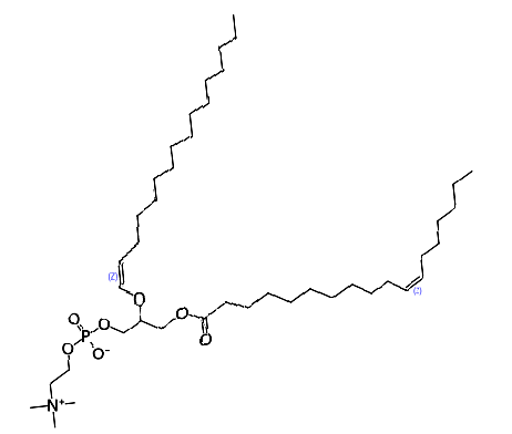 CCCCCC/C=C\CCCCCCCCCC(=O)OCC(COP(=O)([O-])OCC[N+](C)(C)C)O/C=C\CCCCCCCCCCCCCC